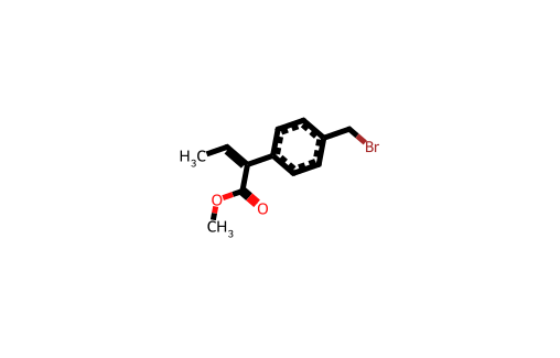 CC=C(C(=O)OC)c1ccc(CBr)cc1